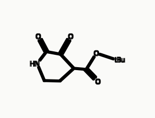 CC(C)(C)OC(=O)C1CCNC(=O)C1=O